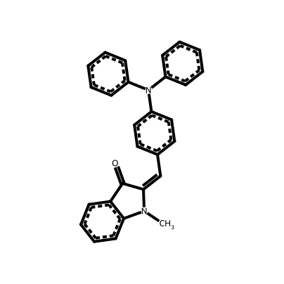 CN1/C(=C/c2ccc(N(c3ccccc3)c3ccccc3)cc2)C(=O)c2ccccc21